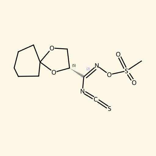 CS(=O)(=O)O/N=C(\N=C=S)[C@H]1COC2(CCCCC2)O1